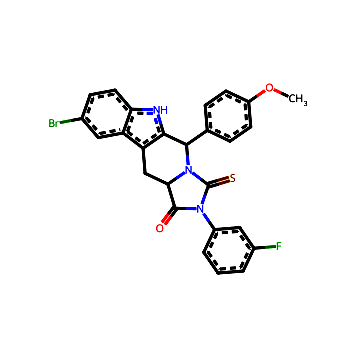 COc1ccc(C2c3[nH]c4ccc(Br)cc4c3CC3C(=O)N(c4cccc(F)c4)C(=S)N32)cc1